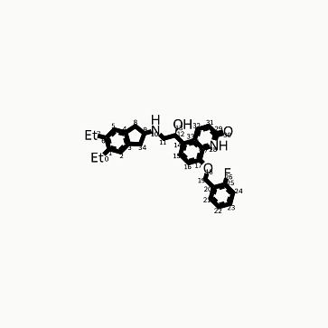 CCc1cc2c(cc1CC)CC(NC[C@H](O)c1ccc(OCc3ccccc3F)c3[nH]c(=O)ccc13)C2